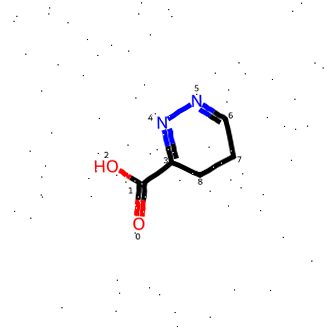 O=C(O)C1=NN=CCC1